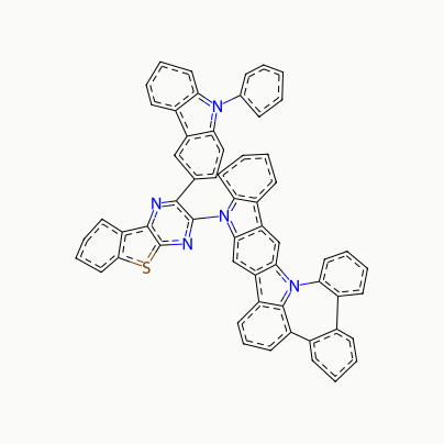 c1ccc(-n2c3ccccc3c3cc(-c4nc5c(nc4-n4c6ccccc6c6cc7c(cc64)c4cccc6c4n7-c4ccccc4-c4ccccc4-6)sc4ccccc45)ccc32)cc1